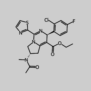 CCOC(=O)C1=C2C[C@H](N(C)C(C)=O)CN2C(c2nccs2)=N[C@H]1c1ccc(F)cc1Cl